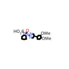 COc1ccc(-c2cnc(-n3c(=O)n(C(=O)O)c4ccccc43)nc2)cc1OC